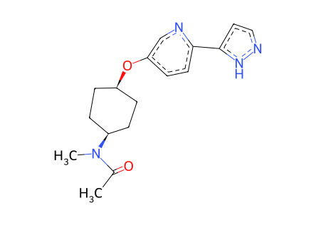 CC(=O)N(C)[C@H]1CC[C@@H](Oc2ccc(-c3ccn[nH]3)nc2)CC1